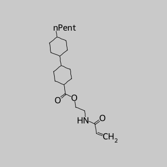 C=CC(=O)NCCOC(=O)C1CCC(C2CCC(CCCCC)CC2)CC1